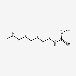 CNCCCCCCNC(=N)OC